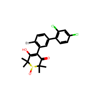 CCc1ccc(-c2ccc(Cl)cc2Cl)cc1C1=C(O)C(C)(C)[S+]([O-])C(C)(C)C1=O